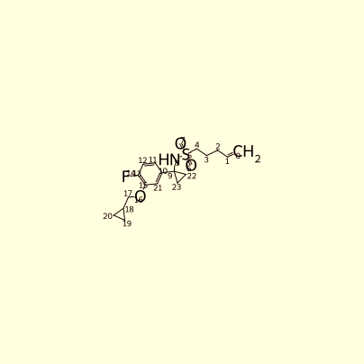 C=CCCCS(=O)(=O)NC1(c2ccc(F)c(OCC3CC3)c2)CC1